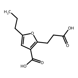 CCCc1cc(C(=O)O)c(CCC(=O)O)o1